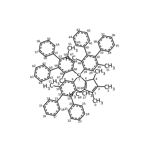 CC1=C(C)C(C)C([Si](c2cc(C)c(-c3ccccc3)c(-c3ccccc3)c2C)(c2cc(C)c(-c3ccccc3)c(-c3ccccc3)c2C)c2cc(C)c(-c3ccccc3)c(-c3ccccc3)c2C)=C1C